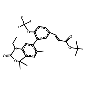 CCN1C(=O)OC(C)(C)c2cc(C)c(-c3cc(C=CC(=O)OC(C)(C)C)ccc3OC(F)(F)F)cc21